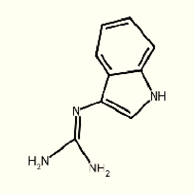 NC(N)=Nc1c[nH]c2ccccc12